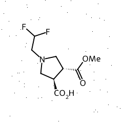 COC(=O)[C@H]1CN(CC(F)F)C[C@@H]1C(=O)O